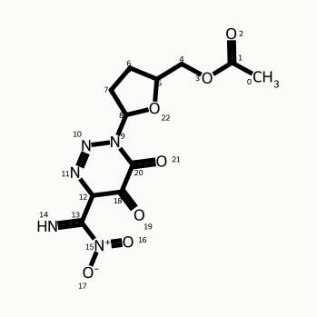 CC(=O)OCC1[CH][CH]C(N2N=NC(C(=N)[N+](=O)[O-])C(=O)C2=O)O1